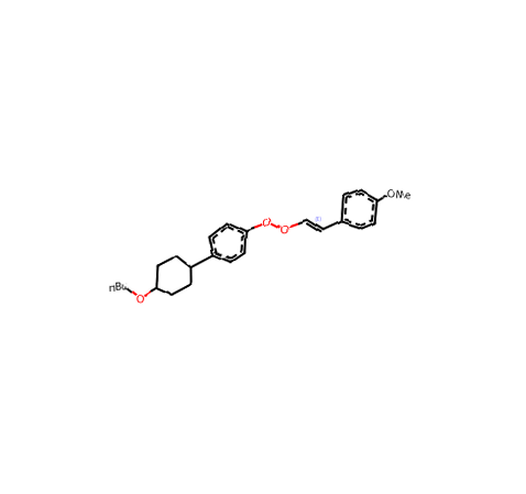 CCCCOC1CCC(c2ccc(OO/C=C/c3ccc(OC)cc3)cc2)CC1